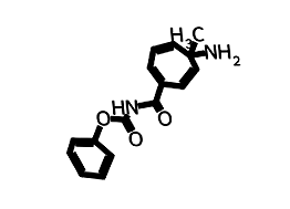 CC1(N)C=CC=C(C(=O)NC(=O)Oc2ccccc2)C=C1